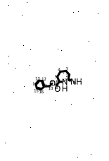 N=C1CCCCC(C(=O)OCc2ccccc2)N1